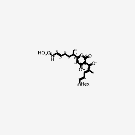 CCCCCCC=CC=C(C)C(=O)c1c(O)cc(C(C)CCC=CNC(=O)O)oc1=O